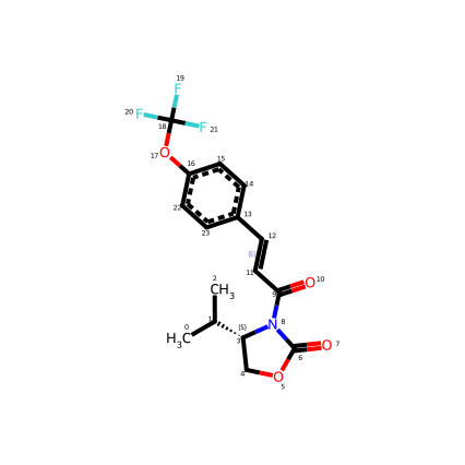 CC(C)[C@H]1COC(=O)N1C(=O)/C=C/c1ccc(OC(F)(F)F)cc1